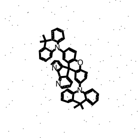 CC1(C)c2ccccc2N(c2ccc3c(c2)C2(c4cc(N5c6ccccc6C(C)(C)c6ccccc65)ccc4O3)c3cccnc3-c3ncccc32)c2ccccc21